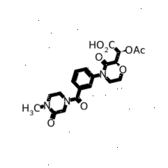 CC(=O)O[C@@H](C(=O)O)[C@H]1OCCN(c2cccc(C(=O)N3CCN(C)C(=O)C3)c2)C1=O